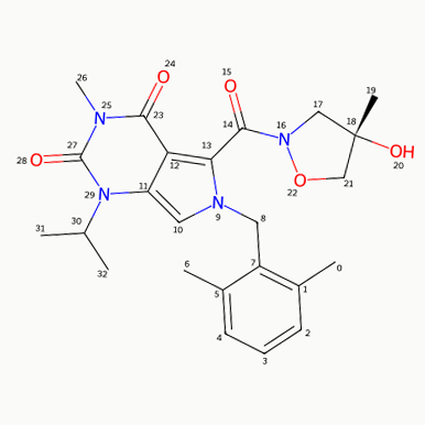 Cc1cccc(C)c1Cn1cc2c(c1C(=O)N1C[C@](C)(O)CO1)c(=O)n(C)c(=O)n2C(C)C